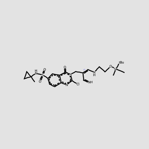 CC1(NS(=O)(=O)c2ccc3nc(Cl)n(C/C(C=N)=C/NCCO[Si](C)(C)C(C)(C)C)c(=O)c3c2)CC1